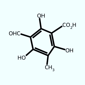 Cc1c(O)c(C=O)c(O)c(C(=O)O)c1O